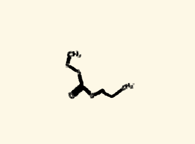 [CH2]CCOC(=O)SSC